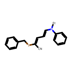 CCN(C=CC=C(C#N)SCc1ccccc1)c1ccccc1